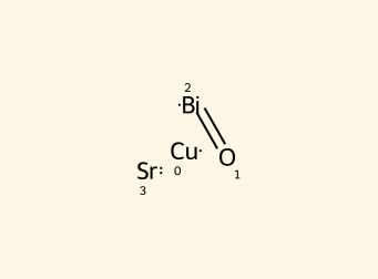 [Cu].[O]=[Bi].[Sr]